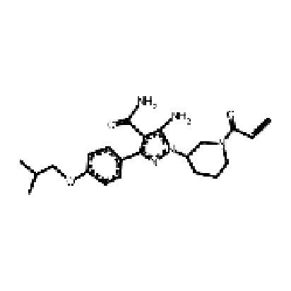 C=CC(=O)N1CCCC(n2nc(-c3ccc(OCC(C)C)cc3)c(C(N)=O)c2N)C1